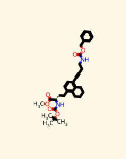 COC(=O)[C@H](CCc1ccc(C#CCCNC(=O)OCc2ccccc2)c2c1CCCC2)NC(=O)OC(C)(C)C